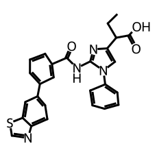 CCC(C(=O)O)c1cn(-c2ccccc2)c(NC(=O)c2cccc(-c3ccc4ncsc4c3)c2)n1